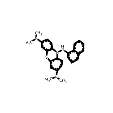 CN(C)c1ccc2c(c1)Sc1cc(N(C)C)ccc1N2Nc1cccc2ccccc12